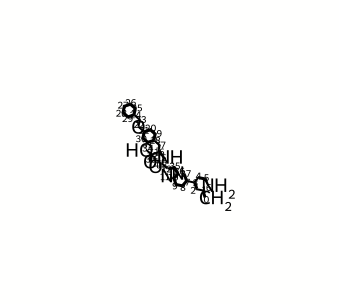 C=C/C=C(\C=C/N)c1ccc2nc(C(=O)NC(Cc3ccc(OCc4ccccc4)cc3)C(=O)O)cn2c1